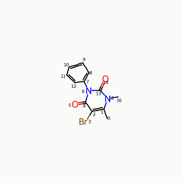 Cc1c(Br)c(=O)n(-c2ccccc2)c(=O)n1C